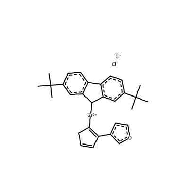 CC(C)(C)c1ccc2c(c1)[CH]([Zr+2][C]1=C(c3ccoc3)C=CC1)c1cc(C(C)(C)C)ccc1-2.[Cl-].[Cl-]